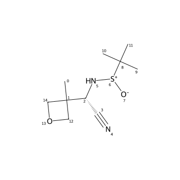 CC1([C@@H](C#N)N[S+]([O-])C(C)(C)C)COC1